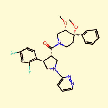 CO[C@H]1CN(C(=O)[C@@H]2CN(c3cccnn3)C[C@H]2c2ccc(F)cc2F)CC[C@]1(OC)c1ccccc1